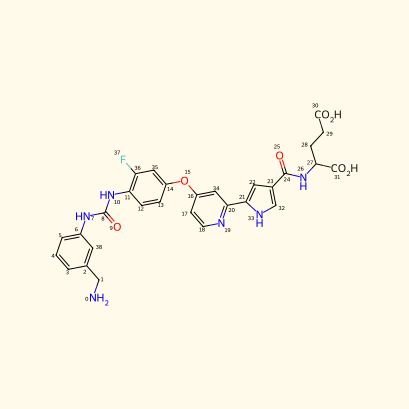 NCc1cccc(NC(=O)Nc2ccc(Oc3ccnc(-c4cc(C(=O)NC(CCC(=O)O)C(=O)O)c[nH]4)c3)cc2F)c1